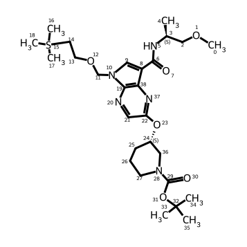 COC[C@H](C)NC(=O)c1cn(COCCS(C)(C)C)c2ncc(O[C@H]3CCCN(C(=O)OC(C)(C)C)C3)nc12